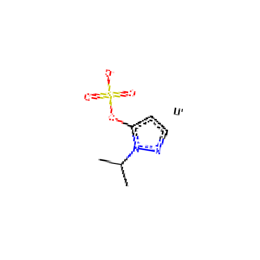 CC(C)n1nccc1OS(=O)(=O)[O-].[Li+]